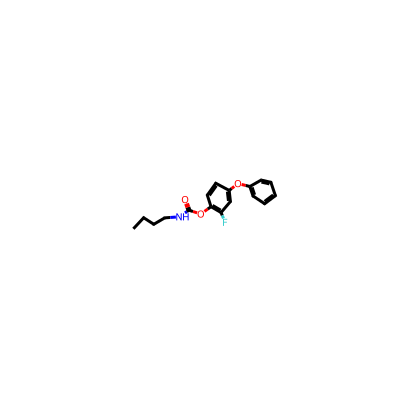 CCCCNC(=O)Oc1ccc(Oc2ccccc2)cc1F